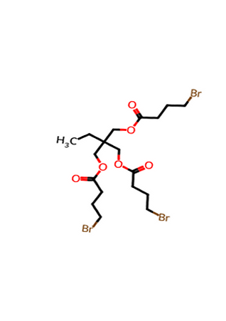 CCC(COC(=O)CCCBr)(COC(=O)CCCBr)COC(=O)CCCBr